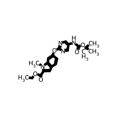 CCOC(=O)c1cc2ccc(Oc3ncc(NC(=O)OC(C)(C)C)cn3)cc2n1C